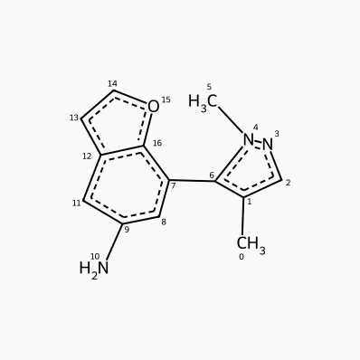 Cc1cnn(C)c1-c1cc(N)cc2ccoc12